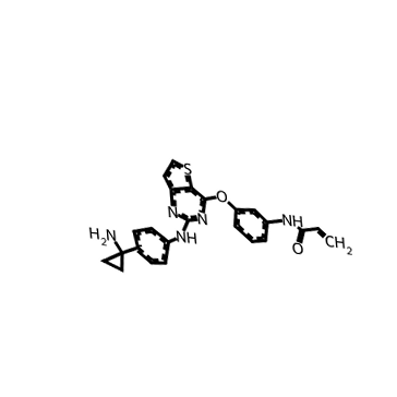 C=CC(=O)Nc1cccc(Oc2nc(Nc3ccc(C4(N)CC4)cc3)nc3ccsc23)c1